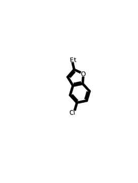 [CH2]Cc1cc2cc(Cl)ccc2o1